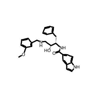 COc1cccc(CNC[C@@H](O)[C@H](Cc2ccccc2)NC(=O)c2ccc3[nH]ccc3c2)c1